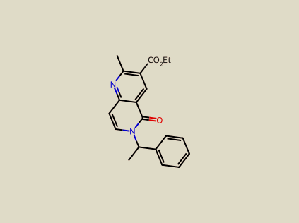 CCOC(=O)c1cc2c(=O)n(C(C)c3ccccc3)ccc2nc1C